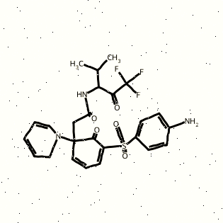 CC(C)C(NC(=O)CC1(N2C=CC=CC2)C=CC=C(S(=O)(=O)c2ccc(N)cc2)C1=O)C(=O)C(F)(F)F